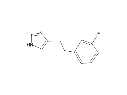 Fc1cccc(CCc2c[nH]cn2)c1